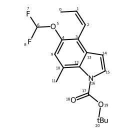 C/C=C\c1c(OC(F)F)cc(C)c2c1ccn2C(=O)OC(C)(C)C